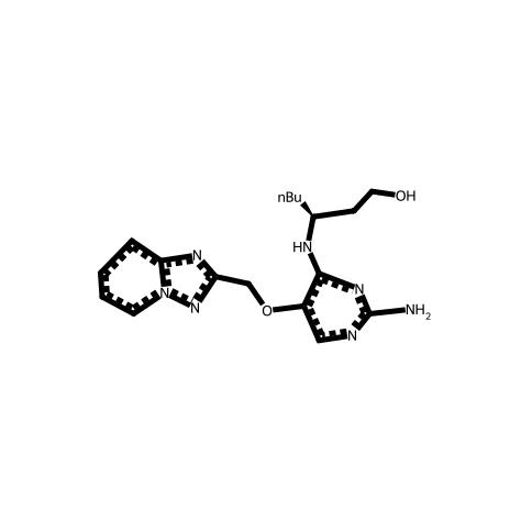 CCCC[C@@H](CCO)Nc1nc(N)ncc1OCc1nc2ccccn2n1